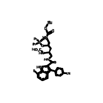 CC(C)[Si](OC(CNC(=O)OC(C)(C)C)C[C@@H](CNC(=O)c1[nH]c2c(F)cccc2c1-c1ccc(C#N)cc1)NC(=O)O)(C(C)C)C(C)C